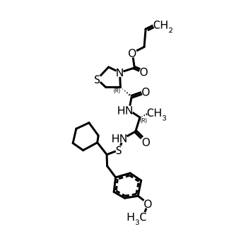 C=CCOC(=O)N1CSC[C@H]1C(=O)N[C@H](C)C(=O)NSC(Cc1ccc(OC)cc1)C1CCCCC1